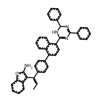 C/C=C(/c1ccc(-c2ccc(C3=NC(c4ccccc4)=NC(c4ccccc4)N3)c3ccccc23)cc1)c1c(N)oc2ccccc12